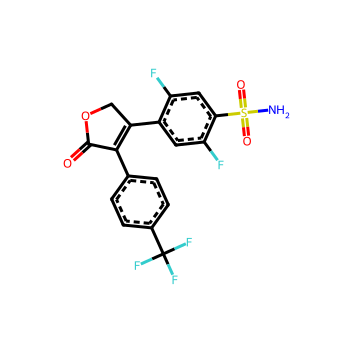 NS(=O)(=O)c1cc(F)c(C2=C(c3ccc(C(F)(F)F)cc3)C(=O)OC2)cc1F